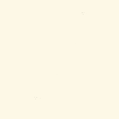 COc1ccc(COc2ccc(-c3ccc(C4CCC(OC)CC4)c(F)c3F)cc2)c(F)c1